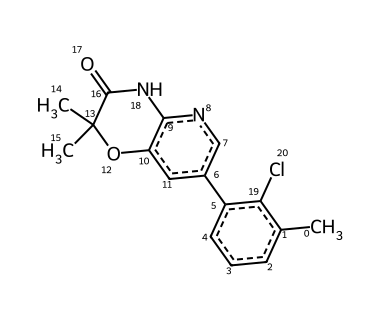 Cc1cccc(-c2cnc3c(c2)OC(C)(C)C(=O)N3)c1Cl